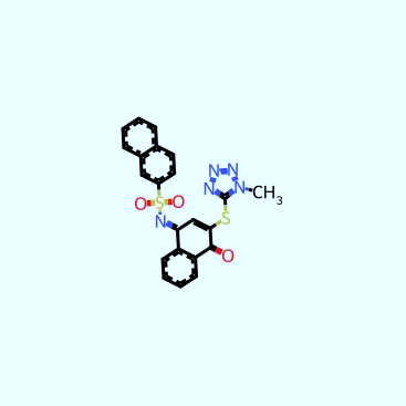 Cn1nnnc1SC1=C/C(=N\S(=O)(=O)c2ccc3ccccc3c2)c2ccccc2C1=O